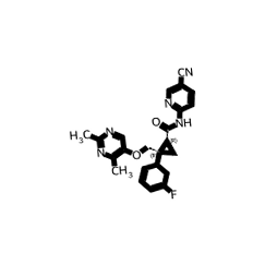 Cc1ncc(OC[C@@]2(C3C=CC=C(F)C3)C[C@H]2C(=O)Nc2ccc(C#N)cn2)c(C)n1